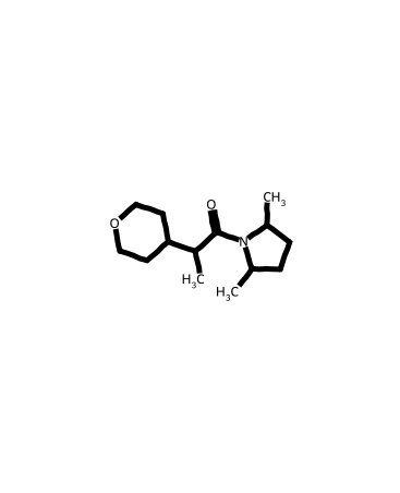 CC(C(=O)N1C(C)CCC1C)C1CCOCC1